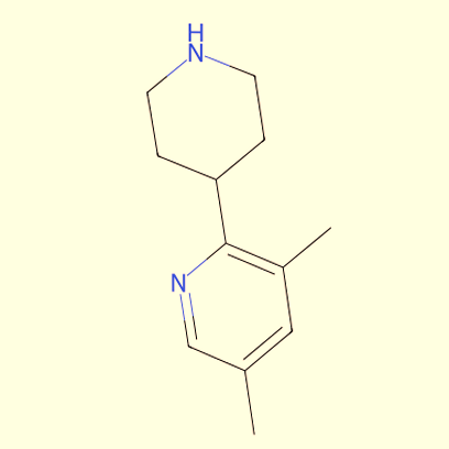 Cc1cnc(C2CCNCC2)c(C)c1